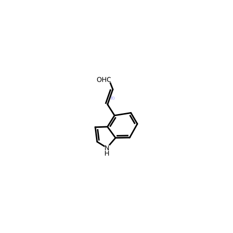 O=C/C=C/c1cccc2[nH]ccc12